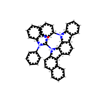 c1ccc(-n2c(-n3c4ccc5ccccc5c4c4ccc5c6ccccc6n(-c6ccccc6)c5c43)nc3ccccc32)cc1